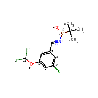 CC(C)(C)[S@@+]([O-])/N=C/c1cc(Cl)cc(OC(F)F)c1